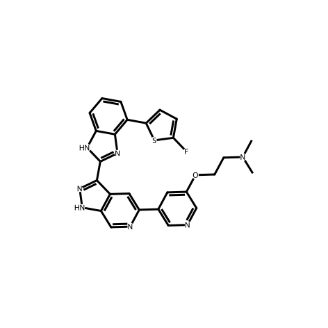 CN(C)CCOc1cncc(-c2cc3c(-c4nc5c(-c6ccc(F)s6)cccc5[nH]4)n[nH]c3cn2)c1